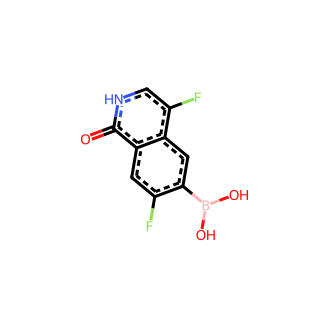 O=c1[nH]cc(F)c2cc(B(O)O)c(F)cc12